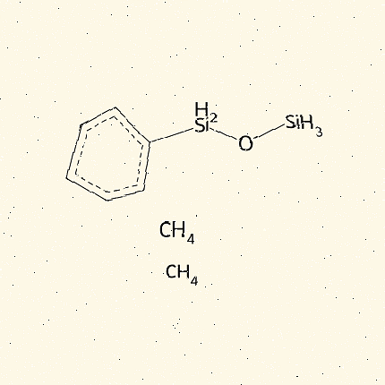 C.C.[SiH3]O[SiH2]c1ccccc1